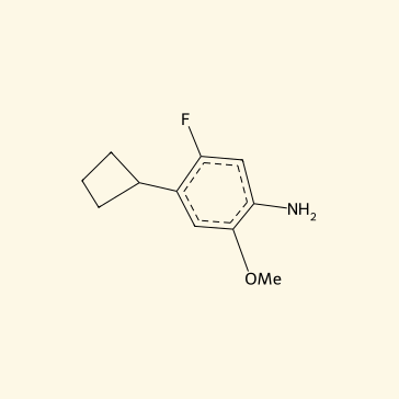 COc1cc(C2CCC2)c(F)cc1N